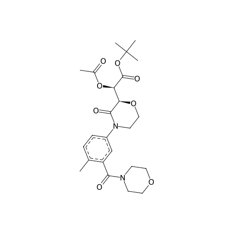 CC(=O)O[C@@H](C(=O)OC(C)(C)C)[C@H]1OCCN(c2ccc(C)c(C(=O)N3CCOCC3)c2)C1=O